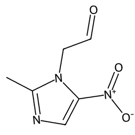 Cc1ncc([N+](=O)[O-])n1CC=O